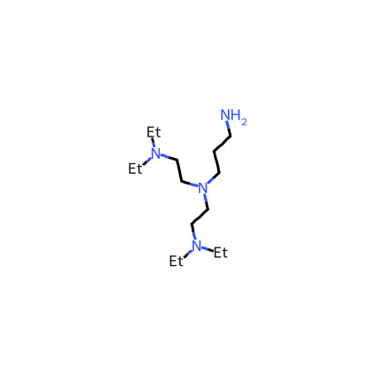 CCN(CC)CCN(CCCN)CCN(CC)CC